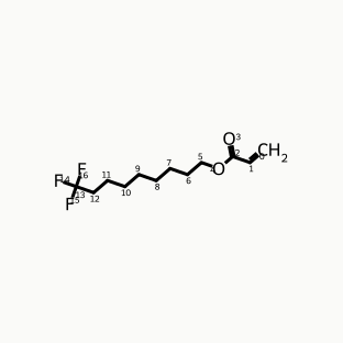 C=CC(=O)OCCCCCCCCC(F)(F)F